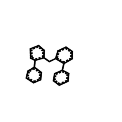 [CH](c1ccccc1-c1ccccc1)c1ccccc1-c1ccccc1